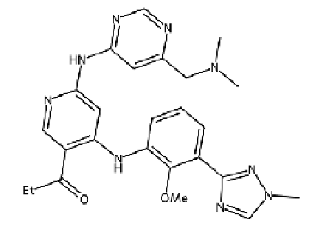 CCC(=O)c1cnc(Nc2cc(CN(C)C)ncn2)cc1Nc1cccc(-c2ncn(C)n2)c1OC